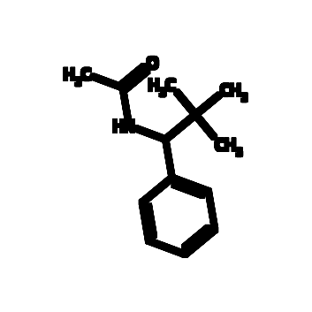 CC(=O)NC(c1ccccc1)C(C)(C)C